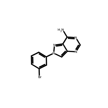 Nc1ncnc2cn(-c3cccc(Br)c3)nc12